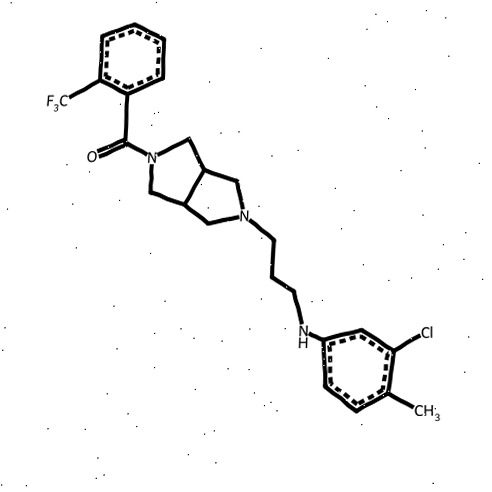 Cc1ccc(NCCCN2CC3CN(C(=O)c4ccccc4C(F)(F)F)CC3C2)cc1Cl